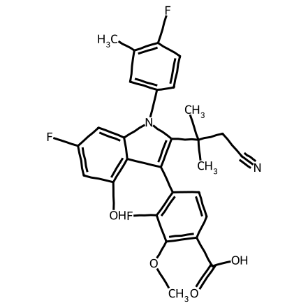 COc1c(C(=O)O)ccc(-c2c(C(C)(C)CC#N)n(-c3ccc(F)c(C)c3)c3cc(F)cc(O)c23)c1F